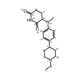 CCN1CCC(c2ccc(N(C)C3CCC(=O)NC3=O)cc2)CC1